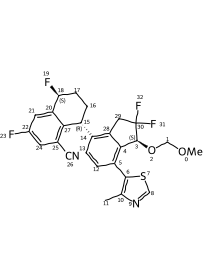 COCO[C@H]1c2c(-c3scnc3C)ccc([C@H]3CC[C@H](F)c4cc(F)cc(C#N)c43)c2CC1(F)F